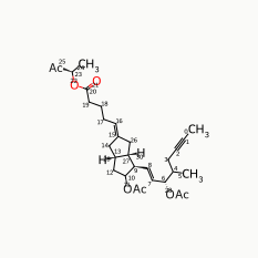 CC#CCC(C)[C@@H](/C=C/[C@H]1C(OC(C)=O)C[C@@H]2C/C(=C\CCCC(=O)O[C@H](C)C(C)=O)C[C@@H]21)OC(C)=O